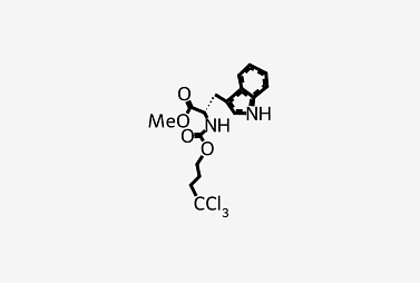 COC(=O)[C@H](Cc1c[nH]c2ccccc12)NC(=O)OCCCC(Cl)(Cl)Cl